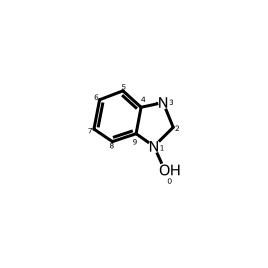 ON1C[N]c2ccccc21